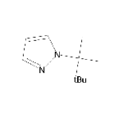 CC(C)(C)C(C)(C)n1cccn1